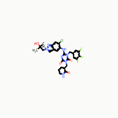 CC(C)(O)Cn1cc2cc(Nc3nc(=O)n(Cc4ccc[nH]c4=O)c(=O)n3Cc3cc(F)c(F)c(F)c3)c(Cl)cc2n1